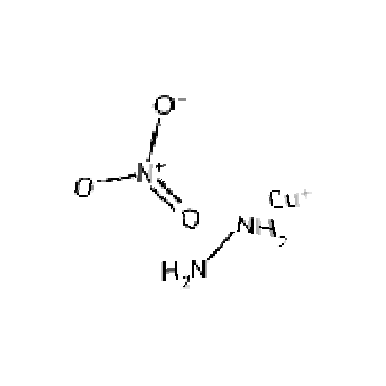 NN.O=[N+]([O-])[O-].[Cu+]